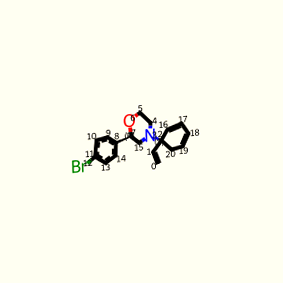 C=C[C@]1(N2CCO[C@H](c3ccc(Br)cc3)C2)C=CC=CC1